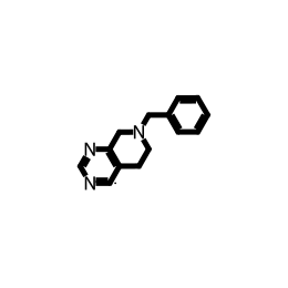 [c]1ncnc2c1CCN(Cc1ccccc1)C2